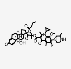 CCCC(=O)O[C@]1(C(=O)C(C)(C)OC(=O)c2c(C)n(C3CC3)c3c(OC)c(N4CCNC(C)C4)c(F)c(C)c3c2=O)CC[C@H]2[C@@H]3CCC4=CC(=O)C=C[C@]4(C)[C@H]3[C@@H](O)C[C@@]21C